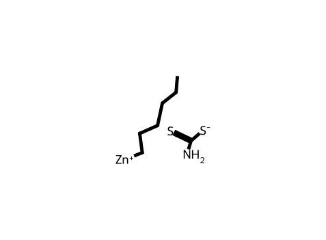 CCCCC[CH2][Zn+].NC(=S)[S-]